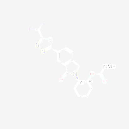 CNC(=O)O[C@@H]1CCCC[C@H]1N1Cc2ccc(-c3nnc(C(F)F)o3)cc2C1=O